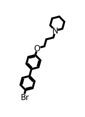 Brc1ccc(-c2ccc(OCCCN3CCCCC3)cc2)cc1